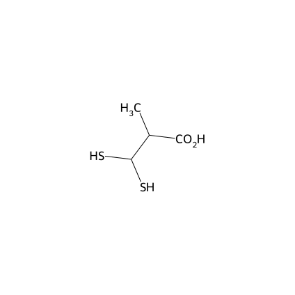 CC(C(=O)O)C(S)S